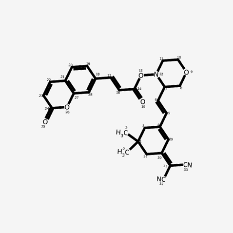 CC1(C)CC(C=CC2COCCN2OC(=O)C=Cc2ccc3ccc(=O)oc3c2)=CC(=C(C#N)C#N)C1